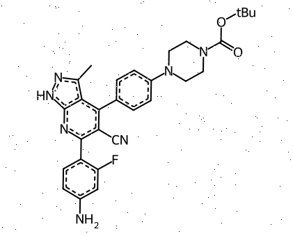 Cc1n[nH]c2nc(-c3ccc(N)cc3F)c(C#N)c(-c3ccc(N4CCN(C(=O)OC(C)(C)C)CC4)cc3)c12